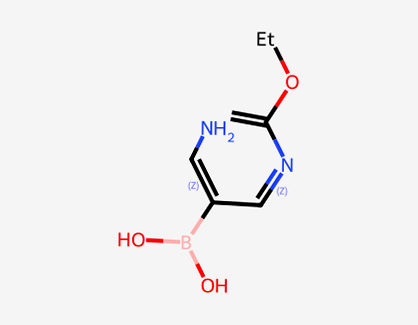 C=C(/N=C\C(=C/N)B(O)O)OCC